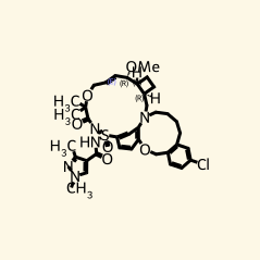 CO[C@H]1/C=C/COC(C)(C)C(=O)N=S(=O)(NC(=O)c2cn(C)nc2C)c2ccc3c(c2)N(CCCCc2cc(Cl)ccc2CO3)C[C@@H]2CC[C@H]21